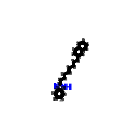 c1ccc2cc(CCCCCCCCc3nc4ccccc4[nH]3)ccc2c1